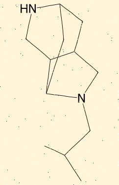 CC(C)CN1CC2CC3CC1C2CN3